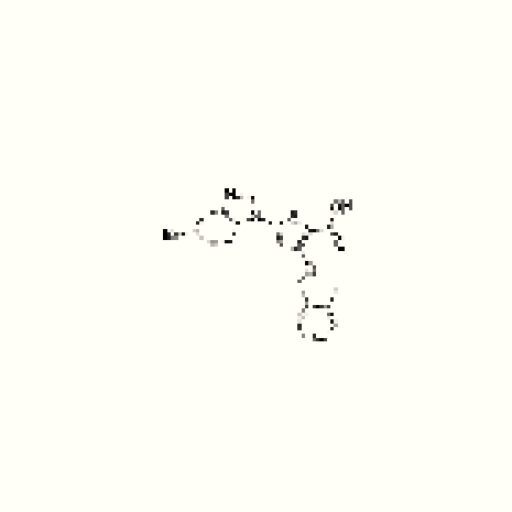 Cc1ccccc1COc1cc(-n2cnc3cc(Br)ccc32)sc1C(=O)O